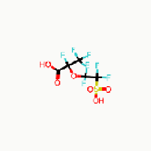 O=C(O)C(F)(OC(F)(F)C(F)(F)S(=O)(=O)O)C(F)(F)F